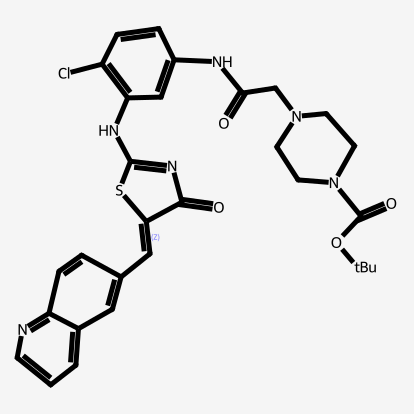 CC(C)(C)OC(=O)N1CCN(CC(=O)Nc2ccc(Cl)c(NC3=NC(=O)/C(=C/c4ccc5ncccc5c4)S3)c2)CC1